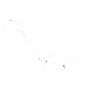 CCOC(=O)/C=C/C(=O)OCC(C)(CO)C(=O)OCCCCN1CCOCC1